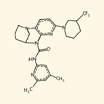 Cc1cc(C)nc(NC(=O)N2c3nc(N4CCCC(C(F)(F)F)C4)ccc3N3CCCC2C3)c1